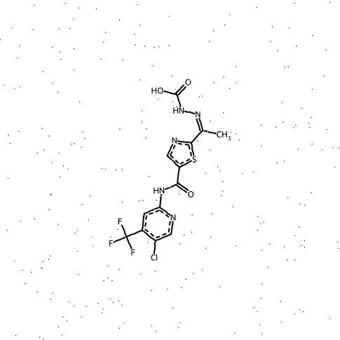 C/C(=N/NC(=O)O)c1ncc(C(=O)Nc2cc(C(F)(F)F)c(Cl)cn2)s1